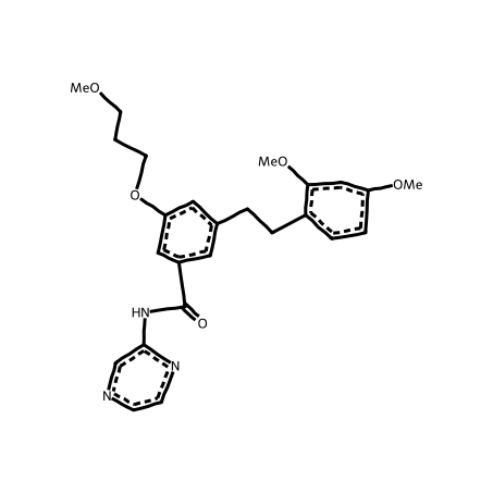 COCCCOc1cc(CCc2ccc(OC)cc2OC)cc(C(=O)Nc2cnccn2)c1